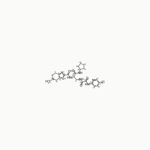 CN1CCc2nc(C(=O)NC(CNC(=O)C(=O)Nc3ccc(Cl)cn3)C(=O)NC3CCCC3)sc2C1